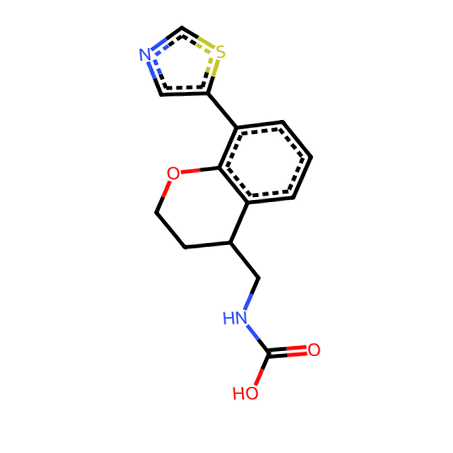 O=C(O)NCC1CCOc2c(-c3cncs3)cccc21